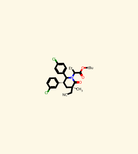 CCC(C(=O)OC(C)(C)C)N1C(=O)[C@@](C)(CC#N)C[C@H](c2cccc(Cl)c2)C1c1ccc(Cl)cc1